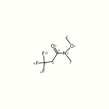 CON(C)C(=O)CC(F)(F)F